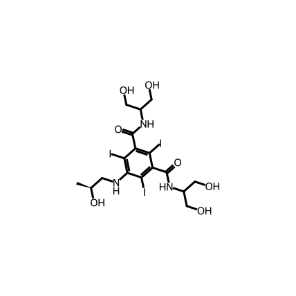 C[C@H](O)CNc1c(I)c(C(=O)NC(CO)CO)c(I)c(C(=O)NC(CO)CO)c1I